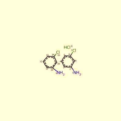 Cl.Nc1cccc(Cl)c1.Nc1cccc(Cl)c1